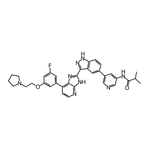 CC(C)C(=O)Nc1cncc(-c2ccc3[nH]nc(-c4nc5c(-c6cc(F)cc(OCCN7CCCC7)c6)ccnc5[nH]4)c3c2)c1